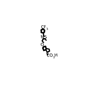 Cc1sc(-c2ccc(C(F)(F)F)cc2)nc1CCOc1ccc2c(c1)CC[C@H]2CC(=O)O